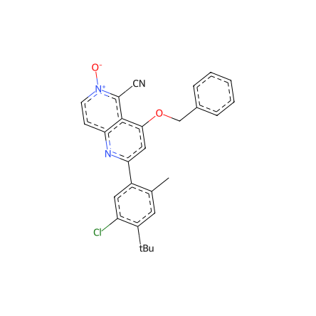 Cc1cc(C(C)(C)C)c(Cl)cc1-c1cc(OCc2ccccc2)c2c(C#N)[n+]([O-])ccc2n1